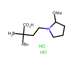 BC(CCCC)(CCN1CCCC1OC)C(=O)O.Cl.Cl